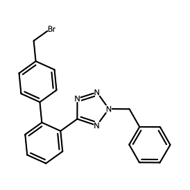 BrCc1ccc(-c2ccccc2-c2nnn(Cc3ccccc3)n2)cc1